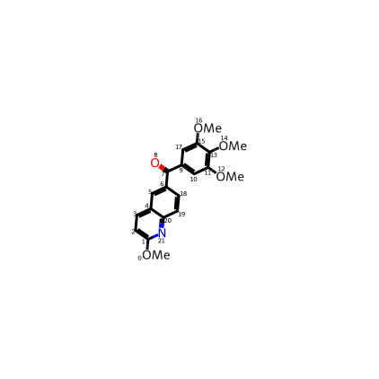 COc1ccc2cc(C(=O)c3cc(OC)c(OC)c(OC)c3)ccc2n1